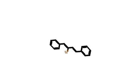 BrC(C=Cc1ccccc1)=Cc1ccccc1